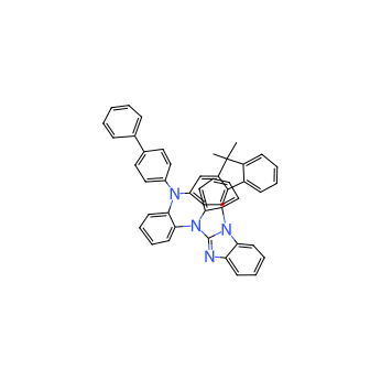 CC1(C)c2ccccc2-c2ccc(N(c3ccc(-c4ccccc4)cc3)c3ccccc3-n3c4ccccc4n4c5ccccc5nc34)cc21